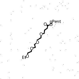 CCCCCOC(=O)CCCOCCOCCOCCOCC